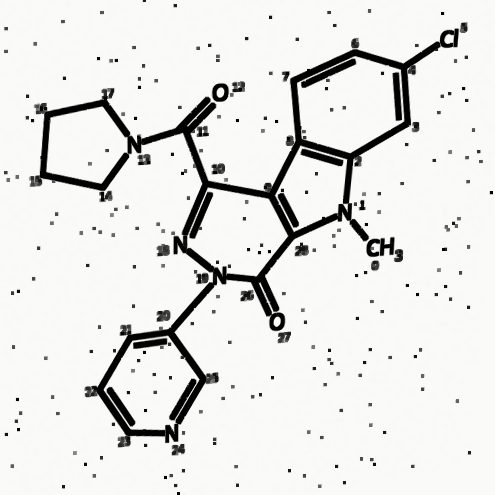 Cn1c2cc(Cl)ccc2c2c(C(=O)N3CCCC3)nn(-c3cccnc3)c(=O)c21